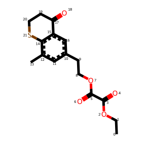 CCOC(=O)C(=O)OCCc1cc(C)c2c(c1)C(=O)CCS2